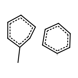 Cc1ccccc1.[c]1ccccc1